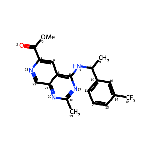 COC(=O)c1cc2c(NC(C)c3cccc(C(F)(F)F)c3)nc(C)nc2cn1